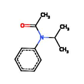 CC(=O)N(c1ccccc1)C(C)C